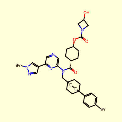 CC(C)c1ccc(C23CCC(CN(c4cncc(-c5cnn(C(C)C)c5)n4)C(=O)[C@H]4CC[C@H](OC(=O)N5CC(O)C5)CC4)(CC2)CC3)cc1